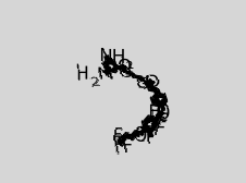 Nc1cc(N)cc(C(=O)OCCCOC(=O)/C=C/c2ccc(OC(F)(F)c3ccc(OCCCC(F)(F)F)c(F)c3F)cc2)c1